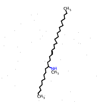 CCCCCCCCCCCCCCC=CCCCC(CCCCCCCCCC)NC